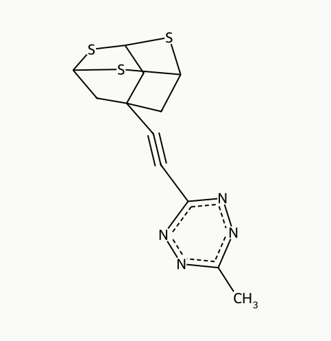 Cc1nnc(C#CC23CC4SC(C2)SC(C3)S4)nn1